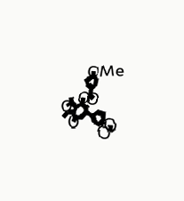 COc1ccc(C(=O)Oc2cc(-c3ccc4c(c3)OCO4)cc(=O)c3c(C)oc(C)c23)cc1